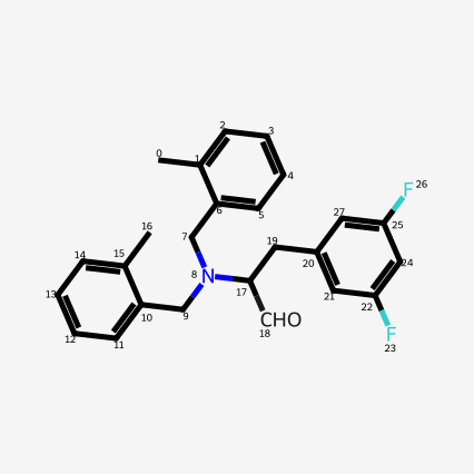 Cc1ccccc1CN(Cc1ccccc1C)C(C=O)Cc1cc(F)cc(F)c1